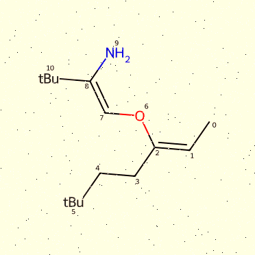 C/C=C(/CCC(C)(C)C)O/C=C(\N)C(C)(C)C